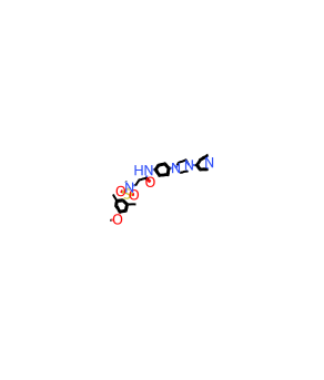 COc1cc(C)c(S(=O)(=O)N(C)CCC(=O)Nc2ccc(N3CCN(c4ccncc4)CC3)cc2)c(C)c1